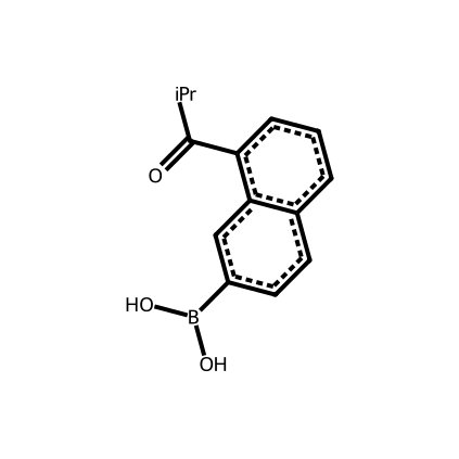 CC(C)C(=O)c1cccc2ccc(B(O)O)cc12